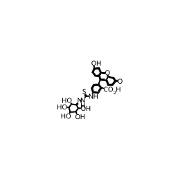 O=C(O)c1cc(NC(=S)NN=C2C(O)C(O)C(O)C(O)C2O)ccc1-c1c2ccc(=O)cc-2oc2cc(O)ccc12